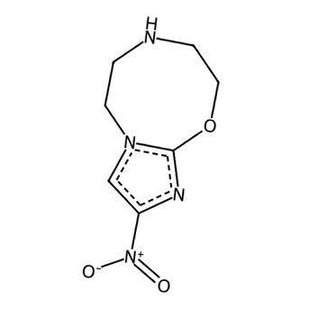 O=[N+]([O-])c1cn2c(n1)OCCNCC2